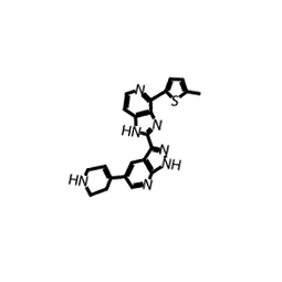 Cc1ccc(-c2nccc3[nH]c(-c4n[nH]c5ncc(C6=CCNCC6)cc45)nc23)s1